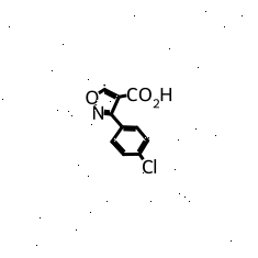 O=C(O)c1[c]onc1-c1ccc(Cl)cc1